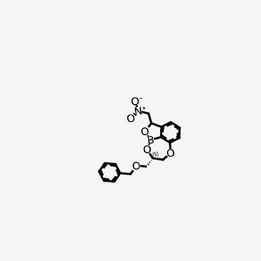 O=[N+]([O-])CC1OB2O[C@@H](COCc3ccccc3)COc3cccc1c32